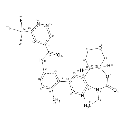 CCN1C(=O)O[C@@H]2COCC[C@@H]2c2cc(-c3cc(NC(=O)c4cnnc(C(F)(F)F)c4)ccc3C)cnc21